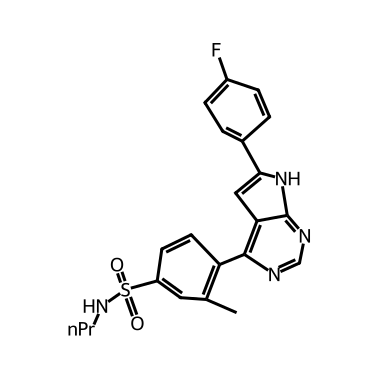 CCCNS(=O)(=O)c1ccc(-c2ncnc3[nH]c(-c4ccc(F)cc4)cc23)c(C)c1